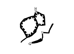 CCOC=O.Cc1ccc2[nH]ccc2c1